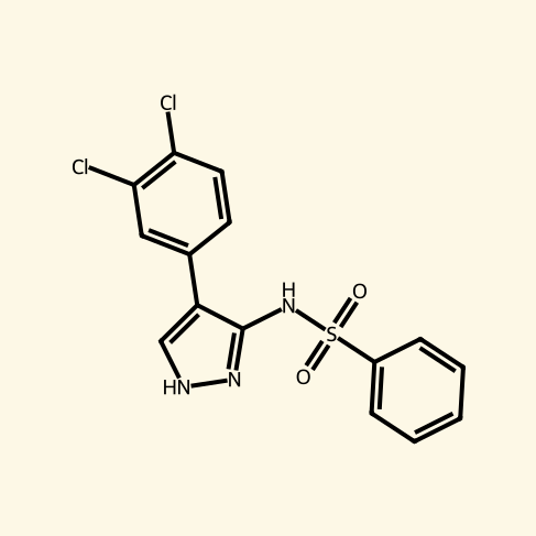 O=S(=O)(Nc1n[nH]cc1-c1ccc(Cl)c(Cl)c1)c1ccccc1